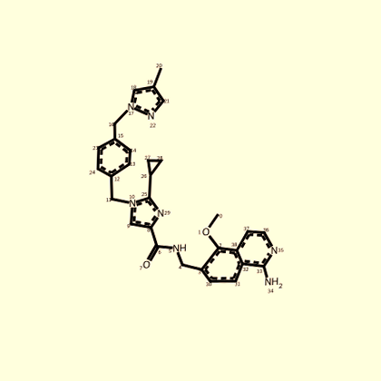 COc1c(CNC(=O)c2cn(Cc3ccc(Cn4cc(C)cn4)cc3)c(C3CC3)n2)ccc2c(N)nccc12